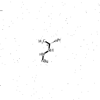 CCCCNN[C@H](C)CCC